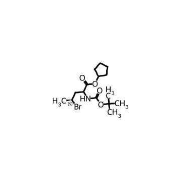 C[C@H](Br)CC(NC(=O)OC(C)(C)C)C(=O)OC1CCCC1